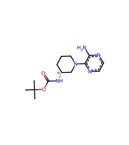 CC(C)(C)OC(=O)N[C@@H]1CCCN(c2nccnc2N)C1